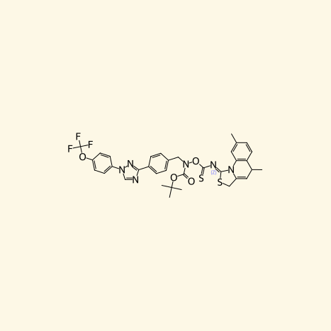 Cc1ccc2c(c1)N1C(=CC2C)CS/C1=N\C(=S)ON(Cc1ccc(-c2ncn(-c3ccc(OC(F)(F)F)cc3)n2)cc1)C(=O)OC(C)(C)C